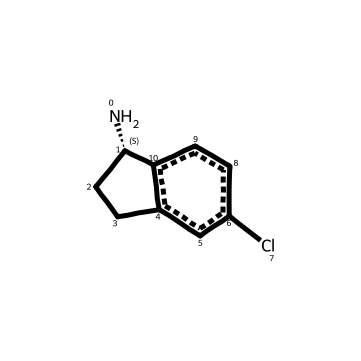 N[C@H]1CCc2cc(Cl)ccc21